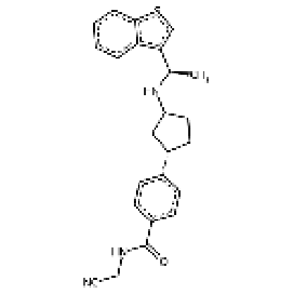 C[C@@H](NC1CC[C@H](c2ccc(C(=O)NCC#N)cc2)C1)c1csc2ccccc12